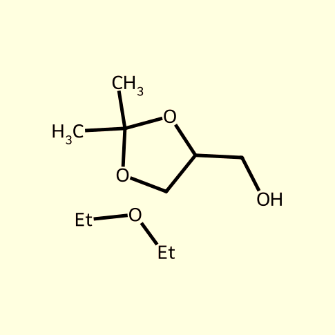 CC1(C)OCC(CO)O1.CCOCC